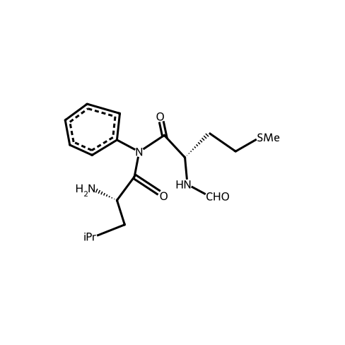 CSCC[C@H](NC=O)C(=O)N(C(=O)[C@@H](N)CC(C)C)c1ccccc1